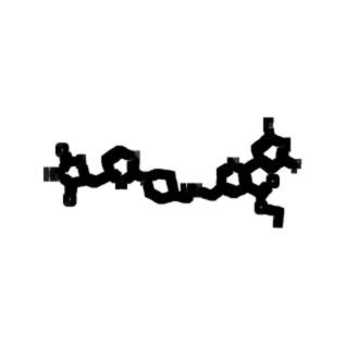 CCOC(=O)c1cc(CNCC2CCN(c3nccc(/C=C4\SC(=O)NC4=O)n3)CC2)cnc1-c1cc(F)nc(F)c1